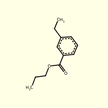 C[CH]c1cccc(C(=O)OCCC)c1